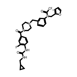 O=C(NCC1CC1)Nc1ccc(C(=O)N2CCN(Cc3cccc(N(Cc4ccco4)C(=O)C(F)(F)F)c3)CC2)cc1F